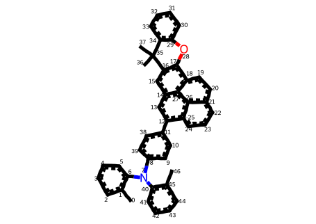 Cc1ccccc1N(c1ccc(-c2cc3cc4c(c5ccc6cccc2c6c35)Oc2ccccc2C4(C)C)cc1)c1ccccc1C